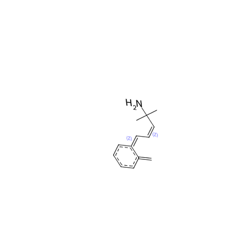 C=c1cccc/c1=C/C=C\C(C)(C)N